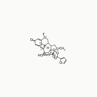 CSC(=O)[C@@]1(OC(=O)c2ccco2)[C@H](C)CC2C3C[C@H](F)C4=CC(=O)C=C[C@]4(/C=C/[C@@H](O)C[C@@]21C)[C@@H]3F